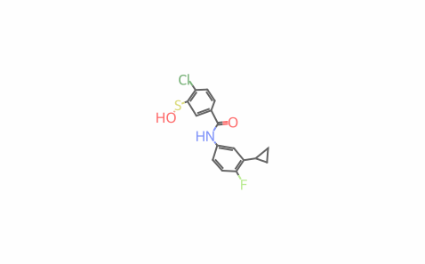 O=C(Nc1ccc(F)c(C2CC2)c1)c1ccc(Cl)c(SO)c1